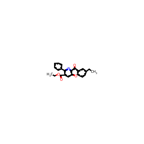 CCOC(=O)c1cc2oc3ccc(CC)cc3c(=O)c2nc1-c1ccccc1